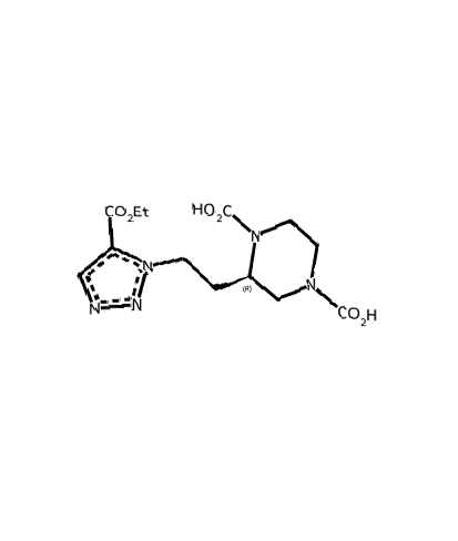 CCOC(=O)c1cnnn1CC[C@@H]1CN(C(=O)O)CCN1C(=O)O